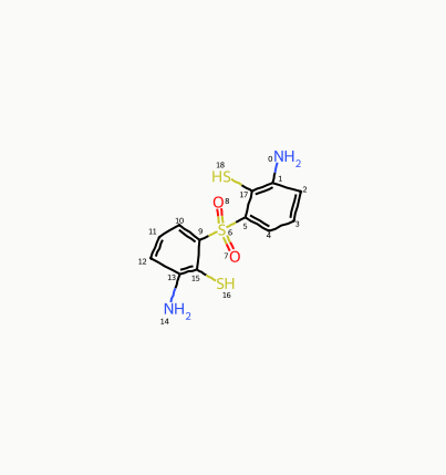 Nc1cccc(S(=O)(=O)c2cccc(N)c2S)c1S